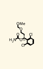 COCOCC[C@H](OC(N)=O)c1c(Cl)cccc1Cl